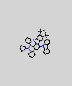 CC1(C)CCC(C)(C)c2cc3c(cc21)c1c(-n2c4ccccc4c4ccccc42)cc2c4c1n3-c1ccccc1B4N(c1ccccc1)c1ccccc1-2